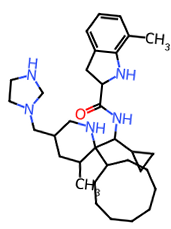 Cc1cccc2c1NC(C(=O)NC(C1CC1)C1(C3CCCCCCCC3)NCC(CN3CCNC3)CC1C)C2